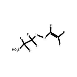 O=S(=O)(O)C(F)(F)C(F)(F)OOC(F)=C(F)F